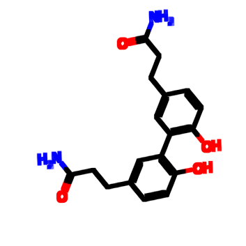 NC(=O)CCc1ccc(O)c(-c2cc(CCC(N)=O)ccc2O)c1